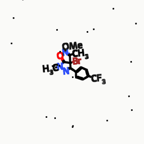 CON=C(C)C1(Br)C(=O)N(C)N=C1c1ccc(C(F)(F)F)cc1